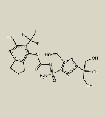 Cc1nc2c(c(NC(=O)N=S(N)(=O)c3sc(C(O)(CO)CO)nc3CO)c1C(F)(F)F)CCC2